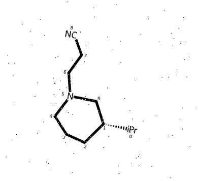 CC(C)[C@@H]1CCCN(CCC#N)C1